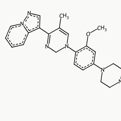 COc1cc(N2CCNCC2)ccc1N1C=C(C)C(c2cnn3ccccc23)=NC1